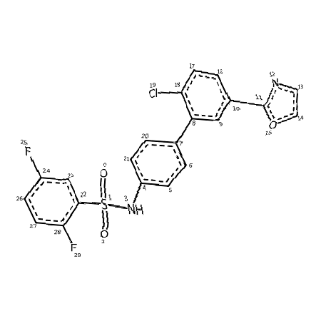 O=S(=O)(Nc1ccc(-c2cc(-c3ncco3)ccc2Cl)cc1)c1cc(F)ccc1F